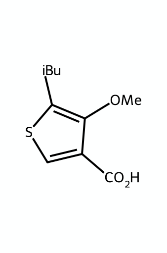 CCC(C)c1scc(C(=O)O)c1OC